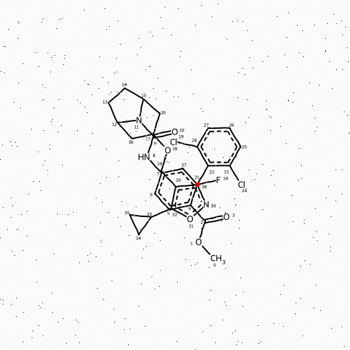 COC(=O)c1ccc(NC(=O)N2C3CCC2CC(OCc2c(-c4c(Cl)cccc4Cl)noc2C2CC2)C3)cc1F